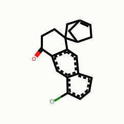 O=C1CCC2(CC3=CCC2C3)c2cc3cccc(Cl)c3cc21